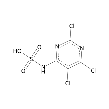 O=S(=O)(O)Nc1nc(Cl)nc(Cl)c1Cl